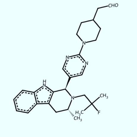 C[C@@H]1Cc2c([nH]c3ccccc23)[C@@H](c2cnc(N3CCC(CC=O)CC3)nc2)N1CC(C)(C)F